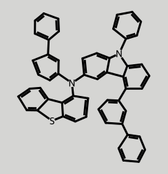 c1ccc(-c2cccc(-c3cccc4c3c3cc(N(c5cccc(-c6ccccc6)c5)c5cccc6sc7ccccc7c56)ccc3n4-c3ccccc3)c2)cc1